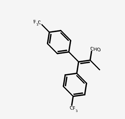 CC(C=O)=C(c1ccc(C(F)(F)F)cc1)c1ccc(C(F)(F)F)cc1